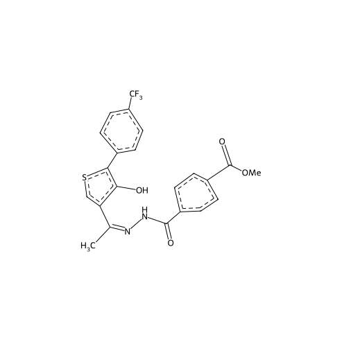 COC(=O)c1ccc(C(=O)N/N=C(/C)c2csc(-c3ccc(C(F)(F)F)cc3)c2O)cc1